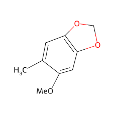 COc1cc2c(cc1C)OCO2